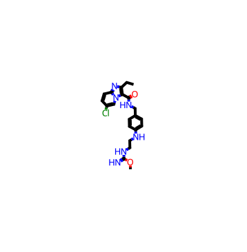 CCc1nc2ccc(Cl)cn2c1C(=O)NCc1ccc(NCCNC(=N)OC)cc1